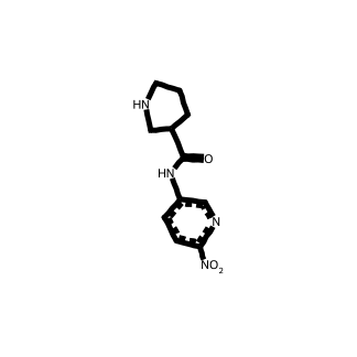 O=C(Nc1ccc([N+](=O)[O-])nc1)C1CCCNC1